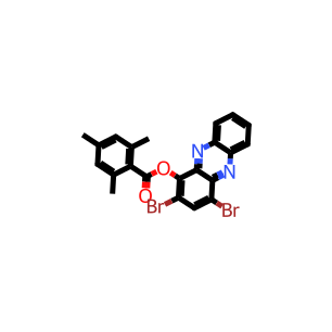 Cc1cc(C)c(C(=O)Oc2c(Br)cc(Br)c3nc4ccccc4nc23)c(C)c1